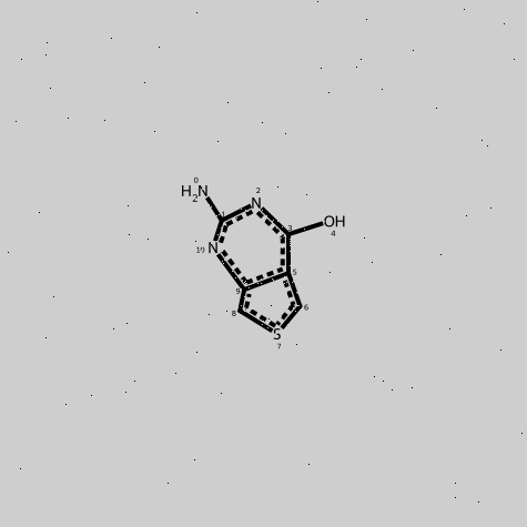 Nc1nc(O)c2cscc2n1